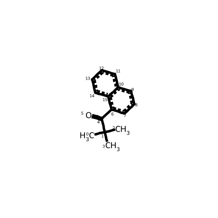 CC(C)(C)C(=O)c1cccc2ccccc12